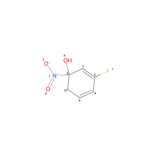 O=[N+]([O-])C1(O)C=C(F)C=CC1